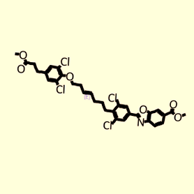 COC(=O)CCc1cc(Cl)c(OCC/C=C/CCCc2c(Cl)cc(-c3nc4ccc(C(=O)OC)cc4o3)cc2Cl)c(Cl)c1